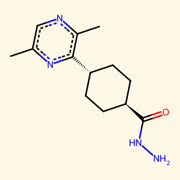 Cc1cnc(C)c([C@H]2CC[C@H](C(=O)NN)CC2)n1